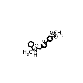 C[C@H](NC(=O)Cc1ccc(-c2ccc(S(C)(=O)=O)cc2)nc1)C1CCCCC1